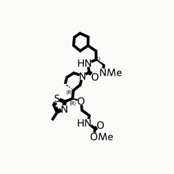 CNC[C@H](CC1CCCCC1)NC(=O)N1CCC[C@@H]([C@@H](OCCNC(=O)OC)c2nc(C)cs2)C1